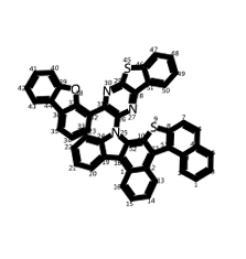 c1ccc2c(c1)ccc1sc3c(c4ccccc4c4c5ccccc5n(-c5nc6c(nc5-c5cccc7c5oc5ccccc57)sc5ccccc56)c34)c12